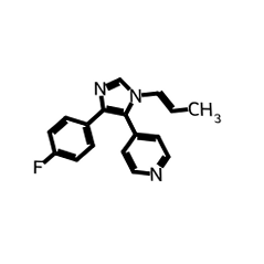 CC=Cn1cnc(-c2ccc(F)cc2)c1-c1ccncc1